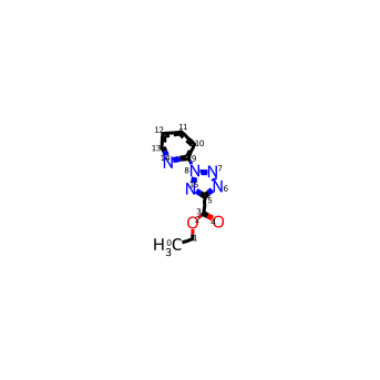 CCOC(=O)c1nnn(-c2ccccn2)n1